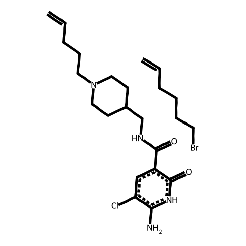 C=CCCCCBr.C=CCCCN1CCC(CNC(=O)c2cc(Cl)c(N)[nH]c2=O)CC1